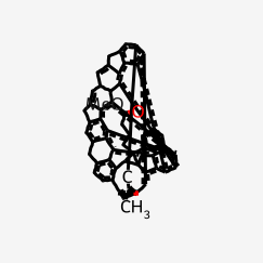 COC(=O)CCCC1(c2ccccc2)C2c3c4ccc5c3-c3c6c7c8c(c9c%10c(cc%11c%12c%13c%14c(c%15c%16c%17c%18c(cc(c3c%18c%157)C5)CC%17=CC(C=C%13C%11)C%14%16)c8c%12%10)Cc3ccc-4c(C)c3-9)C621